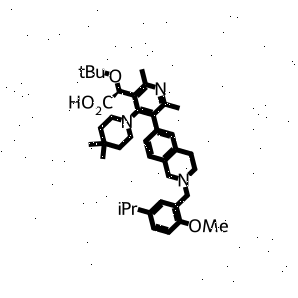 COc1ccc(C(C)C)cc1CN1CCc2cc(-c3c(C)nc(C)c([C@H](OC(C)(C)C)C(=O)O)c3N3CCC(C)(C)CC3)ccc2C1